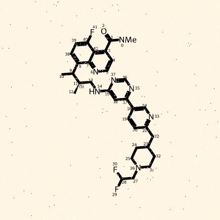 CNC(=O)c1ccnc2c(C(C)[C@H](C)CNc3cc(-c4ccc(CC5CCN(CC(F)F)CC5)nc4)ncn3)ccc(F)c12